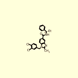 CC[C@H](NC(=O)c1ccc2c(c1)nc(C)n2Cc1ccc(Cl)c(Cl)c1)c1ccccc1